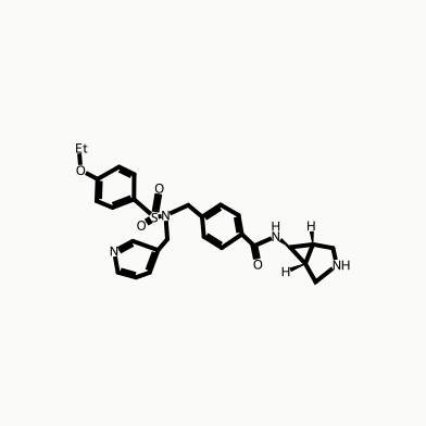 CCOc1ccc(S(=O)(=O)N(Cc2ccc(C(=O)N[C@H]3[C@@H]4CNC[C@@H]43)cc2)Cc2cccnc2)cc1